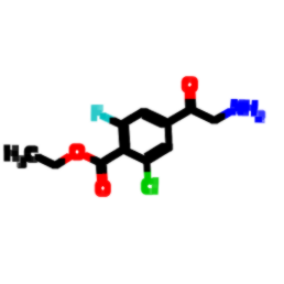 CCOC(=O)c1c(F)cc(C(=O)CN)cc1Cl